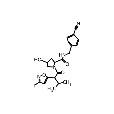 CC(C)C(C(=O)N1CC(O)CC1C(=O)NCc1ccc(C#N)cc1)c1cc(I)no1